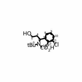 CC(C)(C)N(C(=O)O)C(CCO)c1cccc(Cl)c1F